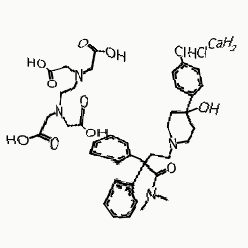 CN(C)C(=O)C(CCN1CCC(O)(c2ccc(Cl)cc2)CC1)(c1ccccc1)c1ccccc1.Cl.O=C(O)CN(CCN(CC(=O)O)CC(=O)O)CC(=O)O.[CaH2]